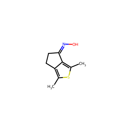 Cc1sc(C)c2c1CCC2=NO